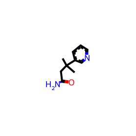 CC(C)(CC(N)=O)c1cccnc1